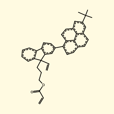 C=CC(=O)OCCCC1(C=C)c2ccccc2-c2ccc(-c3ccc4ccc5cc(C(C)(C)C)cc6ccc3c4c56)cc21